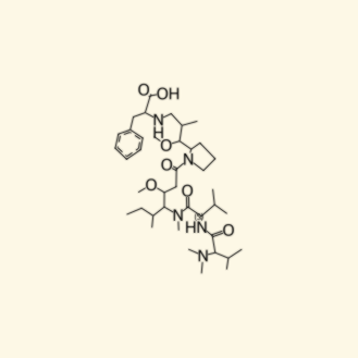 CCC(C)C(C(CC(=O)N1CCCC1C(OC)C(C)CNC(Cc1ccccc1)C(=O)O)OC)N(C)C(=O)[C@@H](NC(=O)C(C(C)C)N(C)C)C(C)C